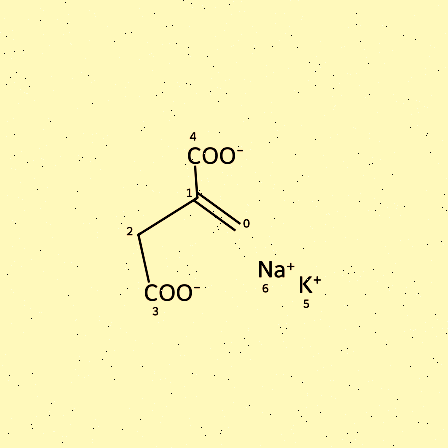 C=C(CC(=O)[O-])C(=O)[O-].[K+].[Na+]